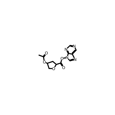 CC(=O)OC1COC(C(=O)On2cnc3cncnc32)C1